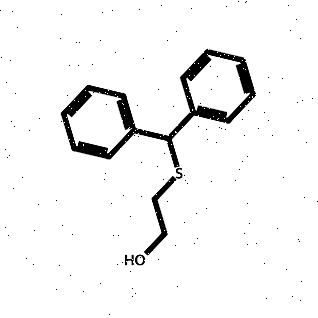 OCCSC(c1ccccc1)c1ccccc1